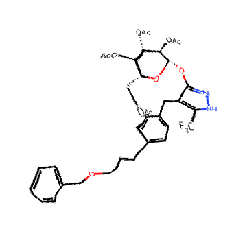 CC(=O)OC[C@H]1O[C@@H](Oc2n[nH]c(C(F)(F)F)c2Cc2ccc(CCCOCc3ccccc3)cc2)[C@H](OC(C)=O)[C@@H](OC(C)=O)[C@@H]1OC(C)=O